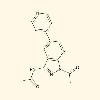 CC(=O)Nc1nn(C(C)=O)c2ncc(-c3ccncc3)cc12